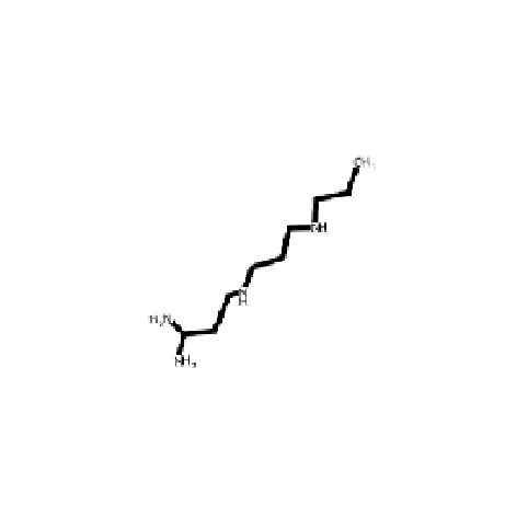 CCCNCCCNCCC(N)N